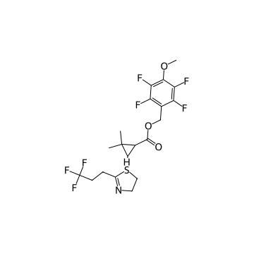 COc1c(F)c(F)c(COC(=O)C2C([SH]3CCN=C3CCC(F)(F)F)C2(C)C)c(F)c1F